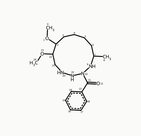 COC1CCCCC(C)NN(C(=O)c2ccccc2)NNCC1OC